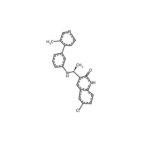 Cc1cnccc1-c1cccc(N[C@@H](C)c2cc3cc(Cl)ccc3[nH]c2=O)c1